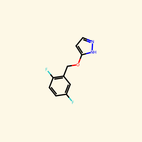 Fc1ccc(F)c(COc2ccn[nH]2)c1